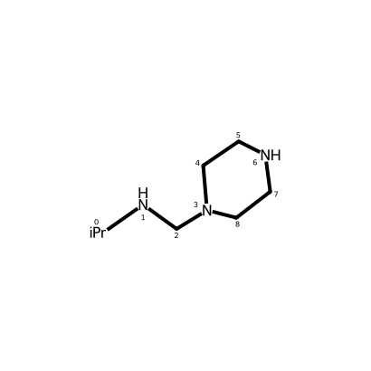 CC(C)NCN1CCNCC1